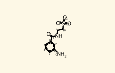 Nc1cccc(C(=O)NCCS(=O)(=O)Cl)c1